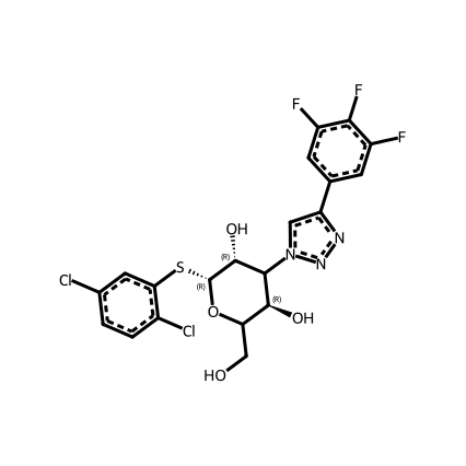 OCC1O[C@H](Sc2cc(Cl)ccc2Cl)[C@H](O)C(n2cc(-c3cc(F)c(F)c(F)c3)nn2)[C@H]1O